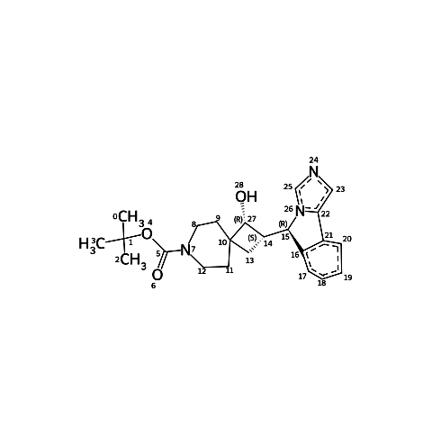 CC(C)(C)OC(=O)N1CCC2(CC1)C[C@@H]([C@@H]1c3ccccc3-c3cncn31)[C@H]2O